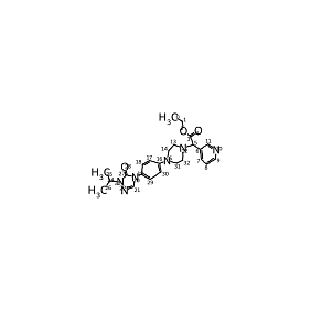 CCOC(=O)C(c1cccnc1)N1CCN(c2ccc(-n3cnn(C(C)C)c3=O)cc2)CC1